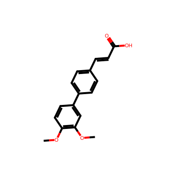 COc1ccc(-c2ccc(C=CC(=O)O)cc2)cc1OC